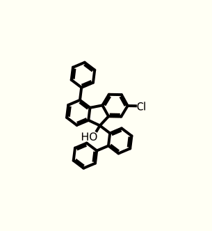 OC1(c2ccccc2-c2ccccc2)c2cc(Cl)ccc2-c2c(-c3ccccc3)cccc21